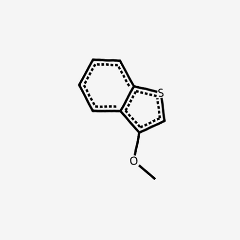 COc1csc2ccccc12